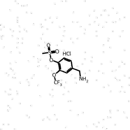 CS(=O)(=O)Oc1ccc(CN)cc1OC(F)(F)F.Cl